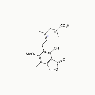 COc1c(C)c2c(c(O)c1C/C=C(\C)C[C@@H](C)C(=O)O)C(=O)OC2